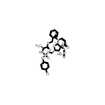 C[C@H](NP(=O)(OC[C@H]1O[C@@H](N(C=O)/C=C\C(N)=O)[C@](C)(N=[N+]=[N-])[C@@H]1O)Oc1ccc(Cl)cc1)C(=O)OCc1ccccc1